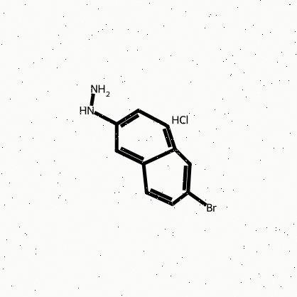 Cl.NNc1ccc2cc(Br)ccc2c1